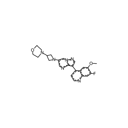 COc1cc2c(-c3cnn4cc(N5CC(N6CCOCC6)C5)cnc34)ccnc2cc1F